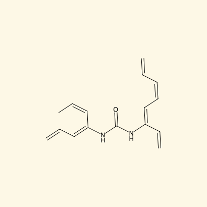 C=C/C=C\C=C(/C=C)NC(=O)NC(/C=C\C)=C/C=C